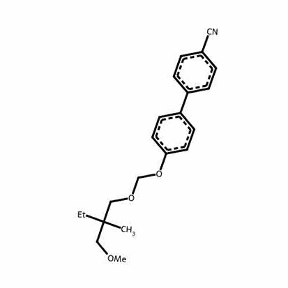 CCC(C)(COC)COCOc1ccc(-c2ccc(C#N)cc2)cc1